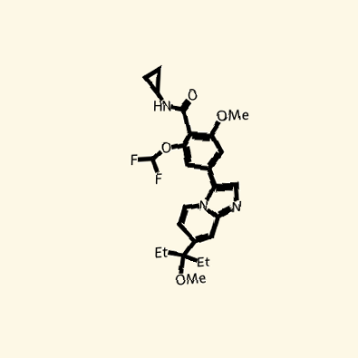 CCC(CC)(OC)c1ccn2c(-c3cc(OC)c(C(=O)NC4CC4)c(OC(F)F)c3)cnc2c1